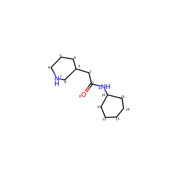 O=C(CC1CCCNC1)NC1CCCCC1